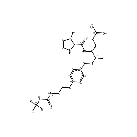 C[C@@H]1CCN[C@@H]1C(=O)N[C@@H](CCC(N)=O)[C@@H](C)OCc1ccc(CCCNC(=O)OC(C)(C)C)cc1